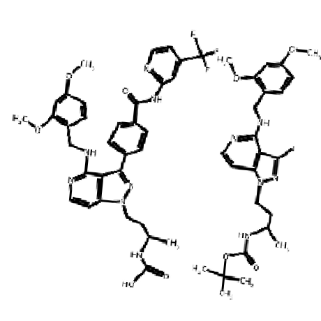 COc1ccc(CNc2nccc3c2c(-c2ccc(C(=O)Nc4cc(C(F)(F)F)ccn4)cc2)nn3CCC(C)NC(=O)O)c(OC)c1.COc1ccc(CNc2nccc3c2c(I)nn3CCC(C)NC(=O)OC(C)(C)C)c(OC)c1